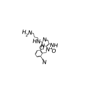 N#Cc1cccc(Cl)c1Cn1c(=O)[nH]c2cnc(NCCCN)nc21